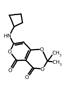 CC1(C)OC(=O)c2c(cc(NC3CCC3)oc2=O)O1